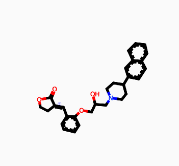 O=C1OCC/C1=C\c1ccccc1OCC(O)CN1CCC(c2ccc3ccccc3c2)CC1